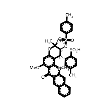 COc1cc2c(c3c1c(=O)c1cc4ccccc4cc1n3C)[C@@H](c1cc(C)ccc1S(=O)(=O)O)[C@H](OS(=O)(=O)c1ccc(C)cc1)C(C)(C)O2